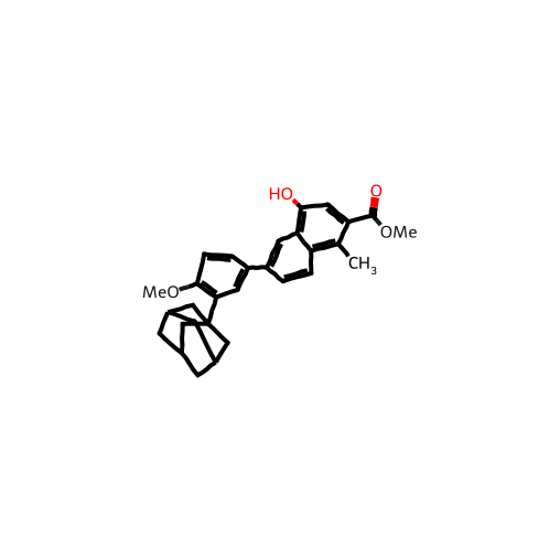 COC(=O)c1cc(O)c2cc(-c3ccc(OC)c(C45CC6CC(CC(C6)C4)C5)c3)ccc2c1C